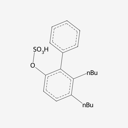 CCCCc1ccc(OS(=O)(=O)O)c(-c2ccccc2)c1CCCC